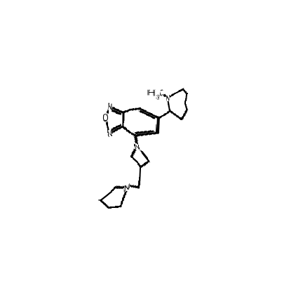 CN1CCCCC1c1cc(N2CC(CN3CCCC3)C2)c2nonc2c1